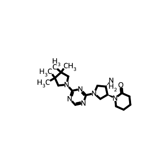 CC1(C)CN(c2ncnc(N3C[C@H](N)[C@@H](N4CCCCC4=O)C3)n2)CC1(C)C